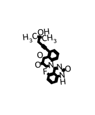 CC(C)(O)CC#Cc1cccc2c1C(=O)C(=O)CN2c1nc(=O)[nH]c2cccc(F)c12